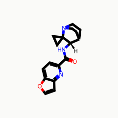 O=C(N[C@H]1C2CCN(CC2)C12CC2)c1ccc2occc2n1